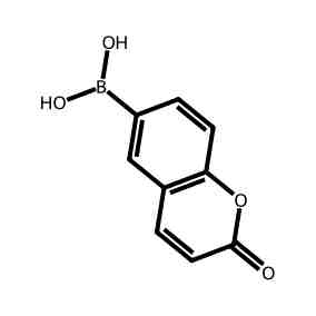 O=c1ccc2cc(B(O)O)ccc2o1